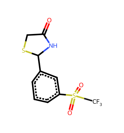 O=C1CSC(c2cccc(S(=O)(=O)C(F)(F)F)c2)N1